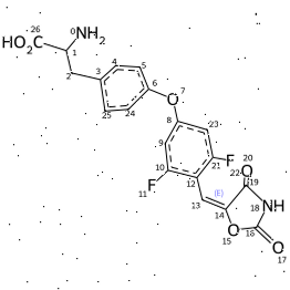 NC(Cc1ccc(Oc2cc(F)c(/C=C3/OC(=O)NC3=O)c(F)c2)cc1)C(=O)O